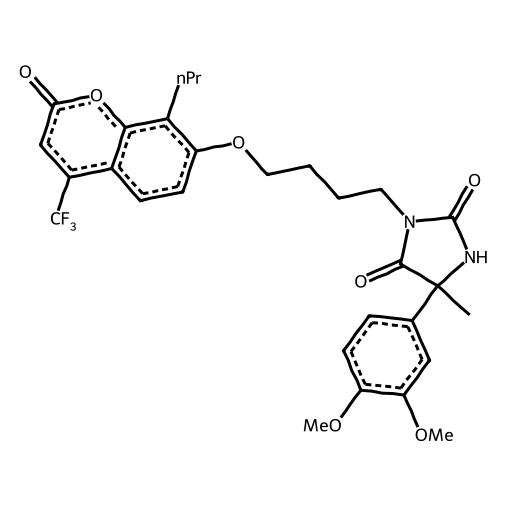 CCCc1c(OCCCCN2C(=O)NC(C)(c3ccc(OC)c(OC)c3)C2=O)ccc2c(C(F)(F)F)cc(=O)oc12